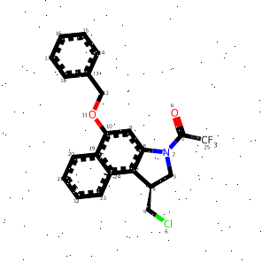 O=C(N1C[C@@H](CCl)c2c1cc(OCc1ccccc1)c1ccccc21)C(F)(F)F